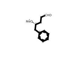 CO[C@H](CC[C]=O)Cc1ccccc1